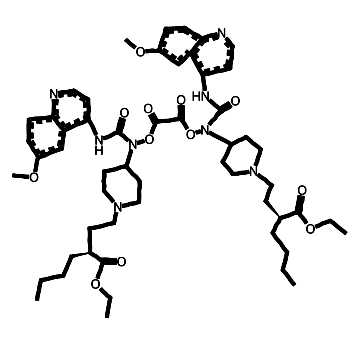 CCCC[C@@H](CCN1CCC(N(OC(=O)C(=O)ON(C(=O)Nc2ccnc3ccc(OC)cc23)C2CCN(CC[C@H](CCCC)C(=O)OCC)CC2)C(=O)Nc2ccnc3ccc(OC)cc23)CC1)C(=O)OCC